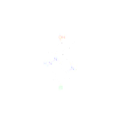 CCCCCC(C)(CCO)N(N)c1ccnc2cc(Cl)ccc12